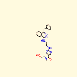 CN(CCO)C(=O)c1cnc(NCCNc2nnc(Cc3ccccc3)c3ccccc23)nc1